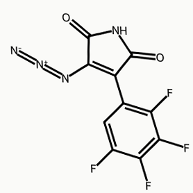 [N-]=[N+]=NC1=C(c2cc(F)c(F)c(F)c2F)C(=O)NC1=O